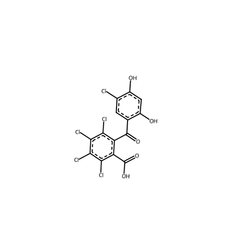 O=C(O)c1c(Cl)c(Cl)c(Cl)c(Cl)c1C(=O)c1cc(Cl)c(O)cc1O